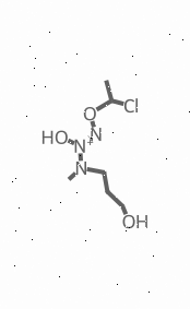 CC(Cl)O/N=[N+](\O)N(C)CCCO